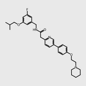 CC(C)COc1cc(F)cc(CNC(=O)Cc2ccc(-c3ccc(OCCN4CCCCC4)cc3)cn2)c1